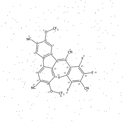 N#CC(=C1c2cc(OC(F)(F)F)c(C#N)cc2-c2cc(C#N)c(OC(F)(F)F)cc21)c1c(F)c(F)c(C#N)c(F)c1F